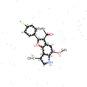 CNC(=O)c1c(-c2ccc(F)cc2)oc2c1cc(OC(C)C)c1[nH]cc(C=O)c12